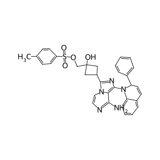 Cc1ccc(S(=O)(=O)OCC2(O)CC(c3nc(N4c5ccccc5C=CC4c4ccccc4)c4c(N)nccn34)C2)cc1